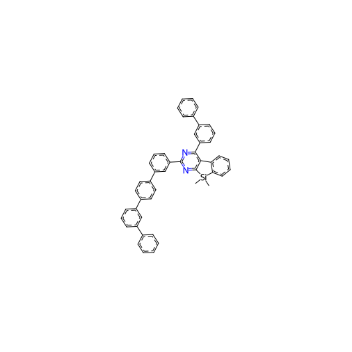 C[Si]1(C)c2ccccc2-c2c(-c3cccc(-c4ccccc4)c3)nc(-c3cccc(-c4ccc(-c5cccc(-c6ccccc6)c5)cc4)c3)nc21